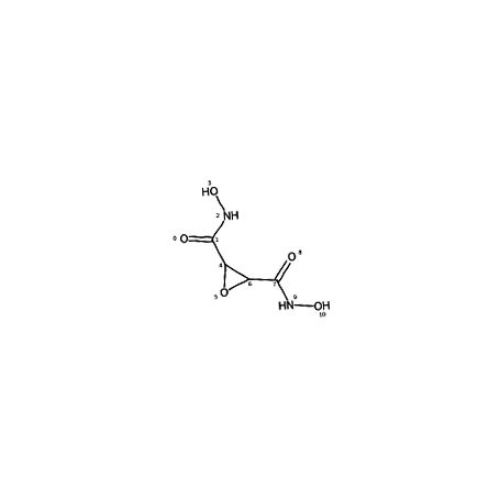 O=C(NO)C1OC1C(=O)NO